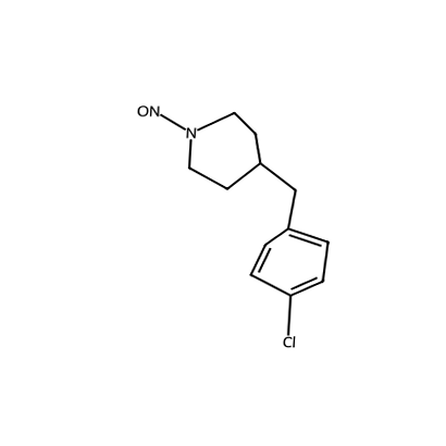 O=NN1CCC(Cc2ccc(Cl)cc2)CC1